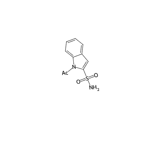 CC(=O)n1c(S(N)(=O)=O)cc2ccccc21